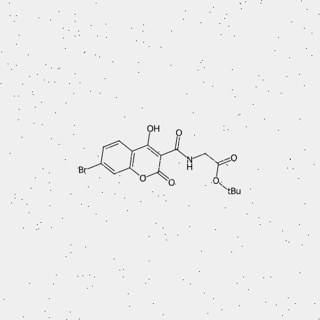 CC(C)(C)OC(=O)CNC(=O)c1c(O)c2ccc(Br)cc2oc1=O